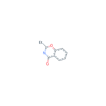 CCc1nc(=O)c2ccccc2o1